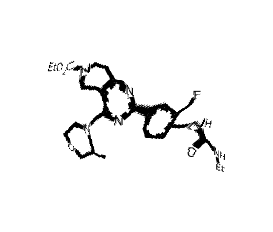 CCNC(=O)Nc1ccc(-c2nc3c(c(N4CCOC[C@@H]4C)n2)CN(C(=O)OCC)C3)cc1F